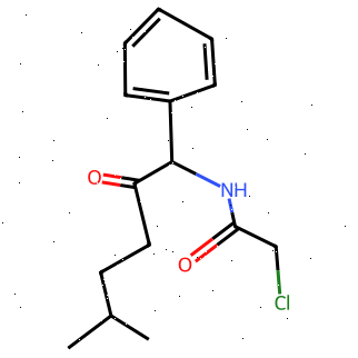 CC(C)CCC(=O)C(NC(=O)CCl)c1ccccc1